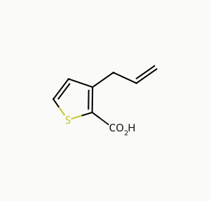 C=CCc1ccsc1C(=O)O